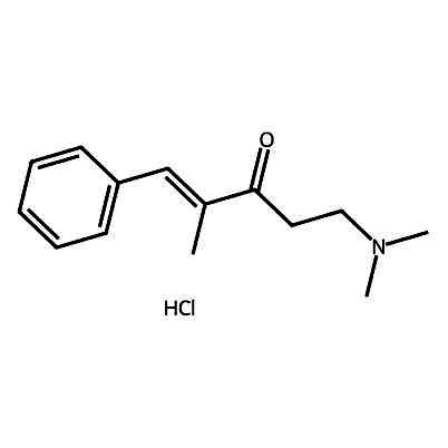 C/C(=C\c1ccccc1)C(=O)CCN(C)C.Cl